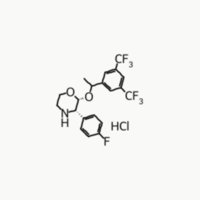 CC(O[C@H]1OCCN[C@H]1c1ccc(F)cc1)c1cc(C(F)(F)F)cc(C(F)(F)F)c1.Cl